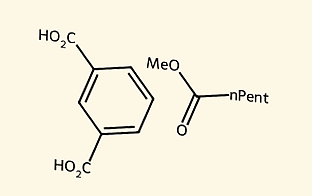 CCCCCC(=O)OC.O=C(O)c1cccc(C(=O)O)c1